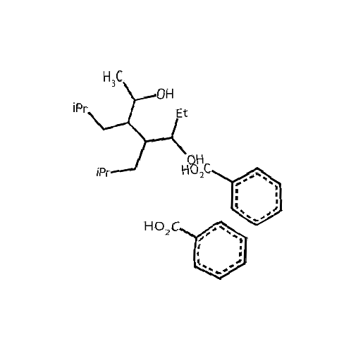 CCC(O)C(CC(C)C)C(CC(C)C)C(C)O.O=C(O)c1ccccc1.O=C(O)c1ccccc1